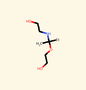 [CH2]C(CC)(NCCO)OCCO